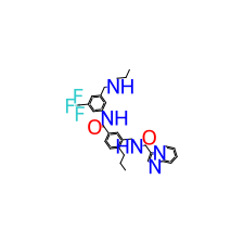 CCCNCc1cc(NC(=O)c2ccc(CCC)c(CNC(=O)c3cnc4ccccn34)c2)cc(C(F)(F)F)c1